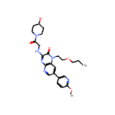 CCCOCCn1c(=O)c(NCC(=O)N2CCC(O)CC2)nc2ncc(-c3ccc(OC)nc3)cc21